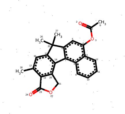 CC(=O)Oc1cc2c(c3ccccc13)-c1c(cc(C)c3c1COC3=O)C2(C)C